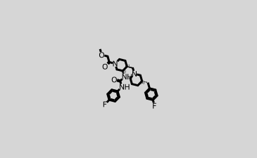 COCC(=O)N1CC[C@@H](CN2CCC[C@@H](Cc3ccc(F)cc3)C2)[C@@H](NC(=O)Nc2ccc(F)cc2)C1